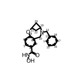 O=C(NO)c1ccc2c(c1)CN(Cc1ccccc1)C1CC(C1)O2